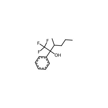 CCCC(C)C(O)(c1ccccc1)C(F)(F)F